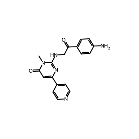 Cn1c(NCC(=O)c2ccc(N)cc2)nc(-c2ccncc2)cc1=O